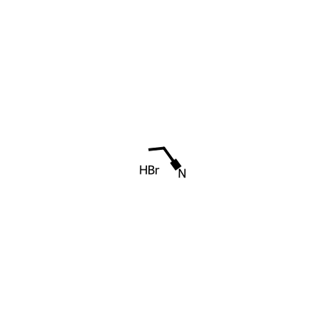 Br.CCC#N